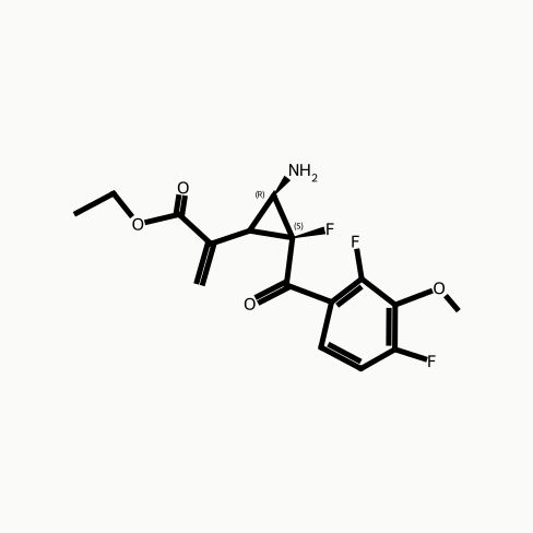 C=C(C(=O)OCC)C1[C@@H](N)[C@]1(F)C(=O)c1ccc(F)c(OC)c1F